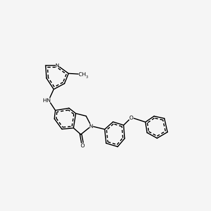 Cc1cc(Nc2ccc3c(c2)CN(c2cccc(Oc4ccccc4)c2)C3=O)ccn1